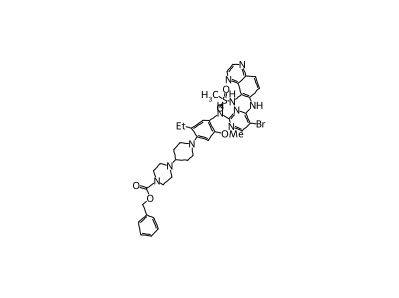 CCc1cc(Nc2ncc(Br)c(Nc3ccc4nccnc4c3NS(C)(=O)=O)n2)c(OC)cc1N1CCC(N2CCN(C(=O)OCc3ccccc3)CC2)CC1